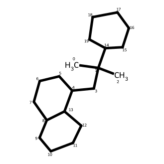 CC(C)(CC1CCCC2CCCCC21)C1CCCCC1